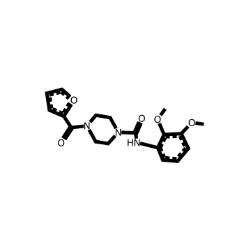 COc1cccc(NC(=O)N2CCN(C(=O)c3ccco3)CC2)c1OC